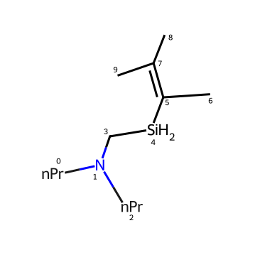 CCCN(CCC)C[SiH2]C(C)=C(C)C